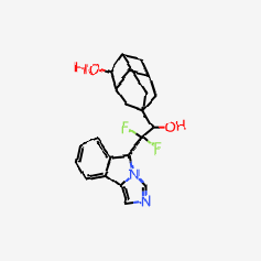 OC1C2CC3CC1CC(C(O)C(F)(F)C1c4ccccc4-c4cncn41)(C3)C2